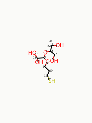 C[C@H](O)C(CO)OC(OCCCS)C(O)O